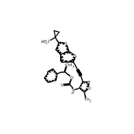 Cc1onc(C#Cc2cc3cc(C4(C(=O)O)CC4)sc3s2)c1NC(=O)OC(C)c1ccccc1